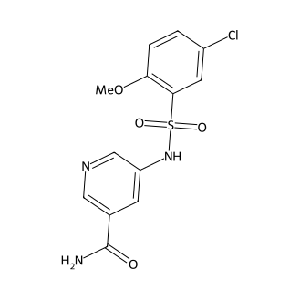 COc1ccc(Cl)cc1S(=O)(=O)Nc1cncc(C(N)=O)c1